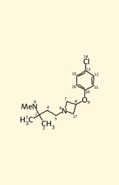 CNC(C)(C)CCN1CC(Oc2ccc(Cl)cc2)C1